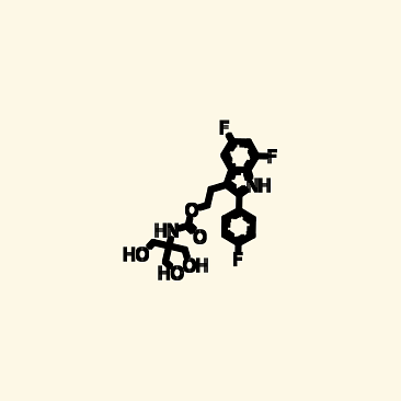 O=C(NC(CO)(CO)CO)OCCc1c(-c2ccc(F)cc2)[nH]c2c(F)cc(F)cc12